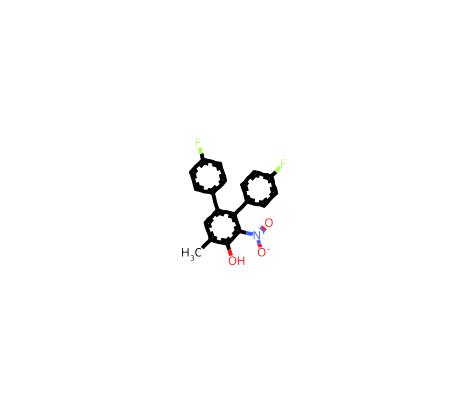 Cc1cc(-c2ccc(F)cc2)c(-c2ccc(F)cc2)c([N+](=O)[O-])c1O